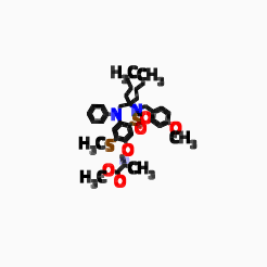 CCCCC1(CCCC)CN(c2ccccc2)c2cc(SC)c(O/C=C(\C)C(=O)OC)cc2S(=O)(=O)N1Cc1ccc(OC)cc1